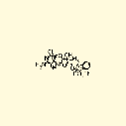 CCOC(=O)C(Cc1ccccc1)(OC[C@H]1O[C@@H](n2cnc3c(N)nc(Cl)nc32)[C@H](OC(C)=O)C1(C)C)C(C)=O